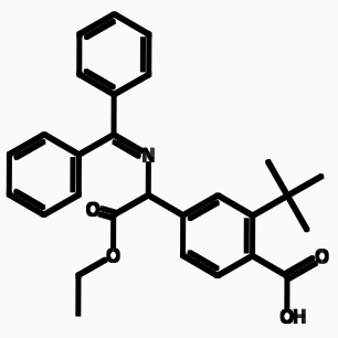 CCOC(=O)C(N=C(c1ccccc1)c1ccccc1)c1ccc(C(=O)O)c(C(C)(C)C)c1